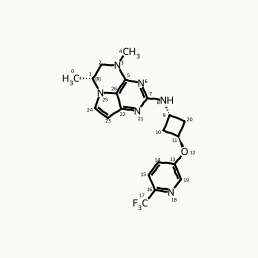 C[C@@H]1CN(C)c2nc(N[C@H]3C[C@H](Oc4ccc(C(F)(F)F)nc4)C3)nc3ccn1c23